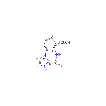 O=C(O)c1cccc2c1[nH]c(=O)c1nccn12